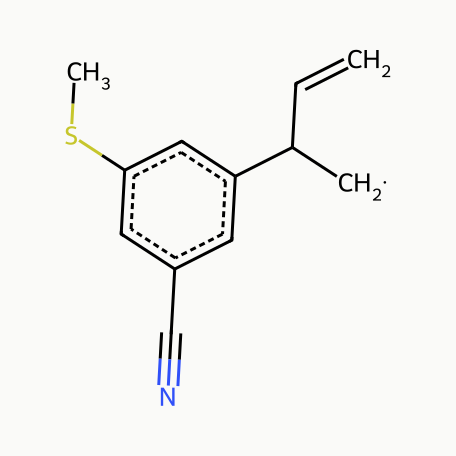 [CH2]C(C=C)c1cc(C#N)cc(SC)c1